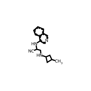 CC1CC(NCC(C#N)Nc2cncc3ccccc23)C1